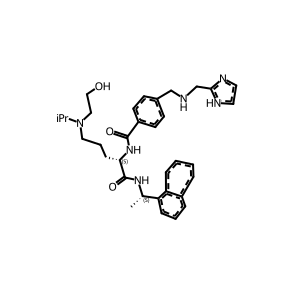 CC(C)N(CCO)CCC[C@H](NC(=O)c1ccc(CNCc2ncc[nH]2)cc1)C(=O)N[C@@H](C)c1cccc2ccccc12